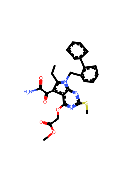 CCc1c(C(=O)C(N)=O)c2c(OCC(=O)OC)nc(SC)nc2n1Cc1ccccc1-c1ccccc1